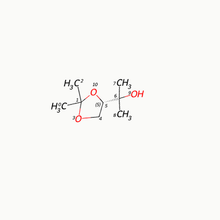 CC1(C)OC[C@@H](C(C)(C)O)O1